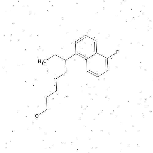 CCC(CCCCC[O])c1cccc2c(F)cccc12